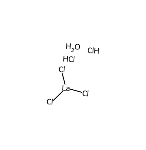 Cl.Cl.O.[Cl][La]([Cl])[Cl]